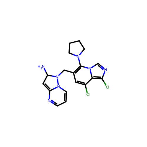 NC1C=C2N=CC=CN2N1Cc1cc(Cl)c2c(Cl)ncn2c1N1CCCC1